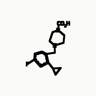 O=C(O)N1CCN(Cc2ccc(F)cc2C2CC2)CC1